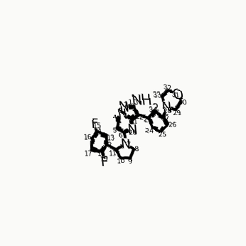 Nc1nn2ccc(N3CCCC3c3cc(F)ccc3F)nc2c1-c1cccc(N2CCOCC2)c1